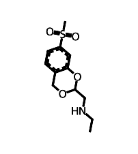 CCNCC1OCc2ccc(S(C)(=O)=O)cc2O1